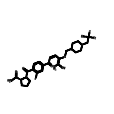 C=C(/C=C\C(OCC1CCN(CC(F)(CC)CC)CC1)=C(/C)C#N)c1ccc(C(=O)N2CCC[C@H]2C(N)=O)c(F)c1